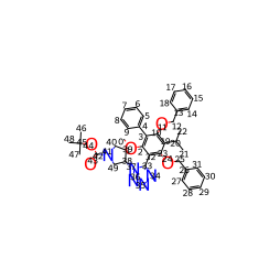 COc1c(-c2ccccc2)c(OCc2ccccc2)c(C(C)C)c(OCc2ccccc2)c1-c1nnnn1C1CCN(C(=O)OC(C)(C)C)C1